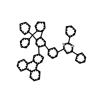 c1ccc(-c2cc(-c3cccc(-c4cc5c(cc4-c4ccc6c7ccccc7c7ccccc7c6c4)C(c4ccccc4)(c4ccccc4)c4ccccc4-5)c3)nc(-c3ccccc3)n2)cc1